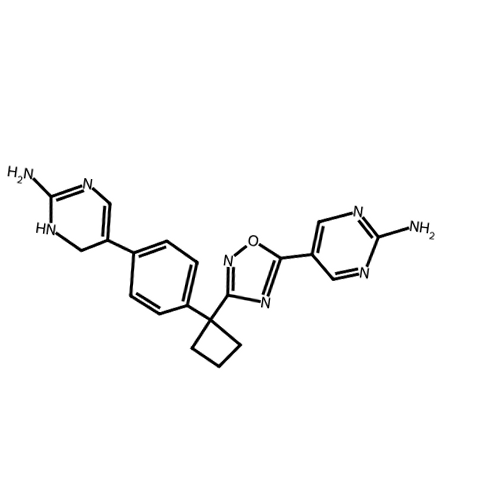 NC1=NC=C(c2ccc(C3(c4noc(-c5cnc(N)nc5)n4)CCC3)cc2)CN1